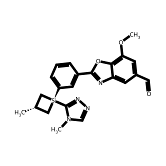 COc1cc(C=O)cc2nc(-c3cccc([Si@]4(c5nncn5C)C[C@@H](C)C4)c3)oc12